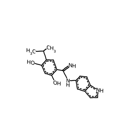 CC(C)c1cc(C(=N)Nc2ccc3[nH]ccc3c2)c(O)cc1O